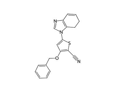 N#Cc1sc(-n2cnc3c2CCC=C3)cc1OCc1ccccc1